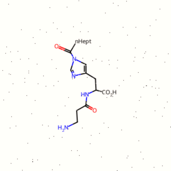 CCCCCCCC(=O)n1cnc(CC(NC(=O)CCN)C(=O)O)c1